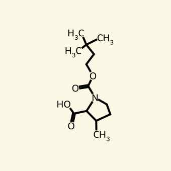 CC1CCN(C(=O)OCCC(C)(C)C)C1C(=O)O